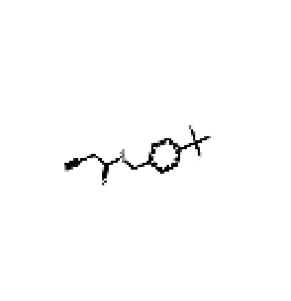 N#CCC(=O)NCc1ccc(C(F)(F)F)cc1